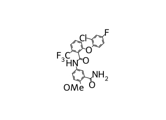 COc1ccc(NC(=O)c2c(Oc3ccc(F)cc3Cl)cccc2C(F)(F)F)cc1C(N)=O